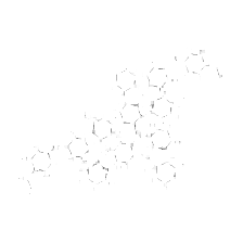 C=Cc1ccc(Oc2ccc(C3(c4cccc(F)c4)c4ccccc4-c4ccc(N(c5ccc6c(c5)C(c5ccc(Oc7ccc(C=C)cc7)cc5)(c5cccc(F)c5)c5ccccc5-6)c5cccc6c5C(C)(C)c5ccccc5-6)cc43)cc2)cc1